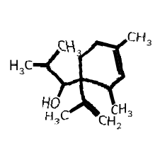 C=C(C)C1(C(O)C(C)C)CCC(C)=CC1C